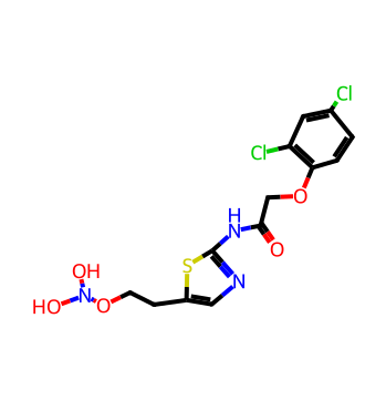 O=C(COc1ccc(Cl)cc1Cl)Nc1ncc(CCON(O)O)s1